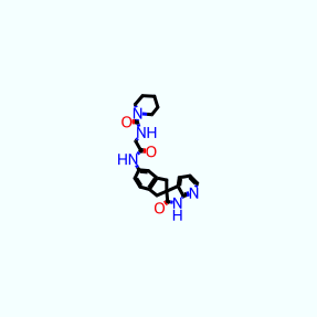 O=C(CNC(=O)N1CCCCC1)Nc1ccc2c(c1)CC1(C2)C(=O)Nc2ncccc21